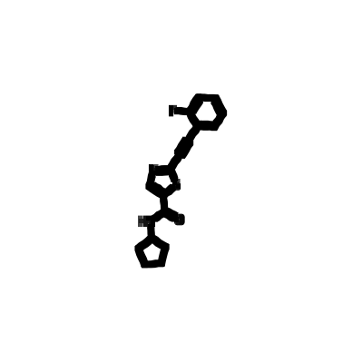 O=C(NC1CCCC1)c1cnc(C#Cc2ccccc2F)s1